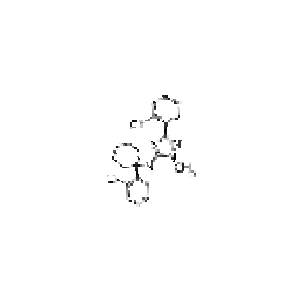 Cn1nc(-c2ccccc2Cl)sc1=NC1(c2ccccc2Cl)CCCCC1